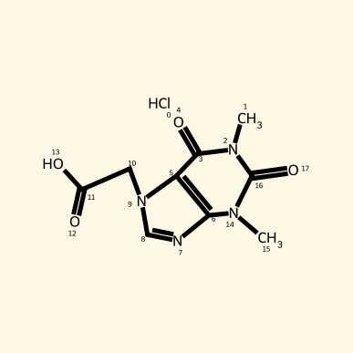 Cl.Cn1c(=O)c2c(ncn2CC(=O)O)n(C)c1=O